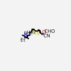 CCCCCCn1c(C)c(CC)c(C)c1/C=C/c1ccc(-c2ccc(/C=C(/C#N)OC=O)s2)s1